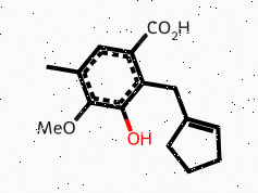 COc1c(C)cc(C(=O)O)c(CC2=CCCC2)c1O